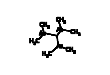 C[As](C)C([As](C)C)[As](C)C